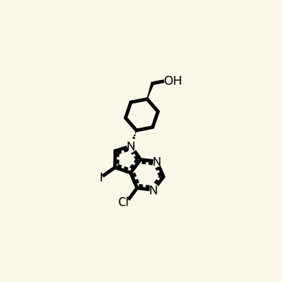 OC[C@H]1CC[C@H](n2cc(I)c3c(Cl)ncnc32)CC1